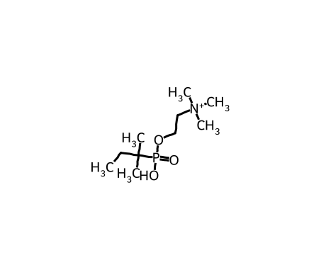 CCC(C)(C)P(=O)(O)OCC[N+](C)(C)C